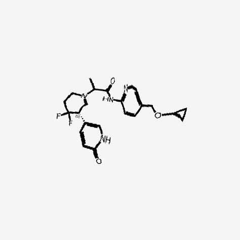 CC(C(=O)Nc1ccc(COC2CC2)cn1)N1CCC(F)(F)[C@@H](c2ccc(=O)[nH]c2)C1